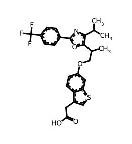 CC(C)c1nc(-c2ccc(C(F)(F)F)cc2)oc1C(C)COc1ccc2c(CC(=O)O)csc2c1